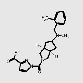 CCC(=O)c1ccn(C(=O)N2C[C@H]3C[C@@H](N(C)Cc4ccccc4C(F)(F)F)C[C@H]3C2)n1